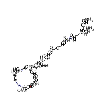 C=N/C(=N\C=C(/C)C(=O)NCCCCn1nc(-c2ccc3oc(N)nc3c2)c2c(N)ncnc21)N1CCN(CCOCCC(=O)N2CCN(c3ncc(CNC(=O)O[C@@H]4CC[C@@H](C[C@@H](N)[C@@H]5CC(=O)[C@H](C)/C=C(\C)[C@@H](O)[C@@H](O)C(=O)[C@H](C)C[C@H](C)/C=C/C=C/C=C(\C)[C@@H](OC)C[C@@H]6CC[C@@H](C)[C@@](O)(O6)C(=O)C(=O)N6CCCC[C@H]6C(=O)O5)C[C@H]4OC)cn3)CC2)CC1